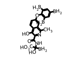 Bc1cc(B)c(Oc2ccc3c(O)c(C(=O)NC(B)(O)C(=O)O)nc(C)c3c2)c(B)c1